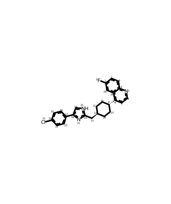 Fc1ccc2nccc([C@H]3CC[C@H](Cc4nc(-c5ccc(Cl)cc5)c[nH]4)CC3)c2c1